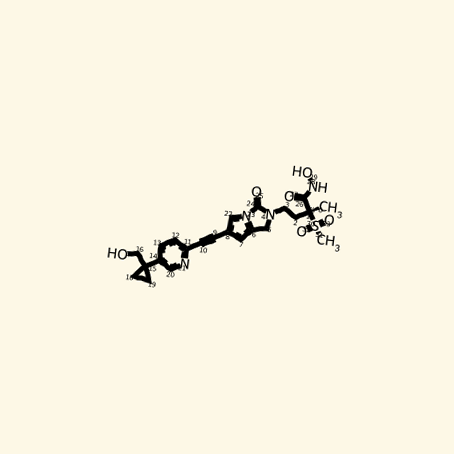 C[C@@](CCN1Cc2cc(C#Cc3ccc(C4(CO)CC4)cn3)cn2C1=O)(C(=O)NO)S(C)(=O)=O